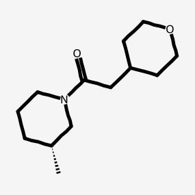 C[C@@H]1CCCN(C(=O)CC2CCOCC2)C1